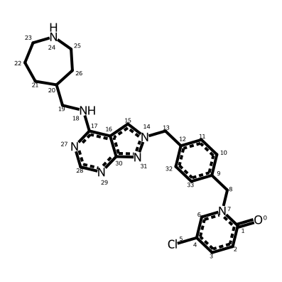 O=c1ccc(Cl)cn1Cc1ccc(Cn2cc3c(NCC4CCCNCC4)ncnc3n2)cc1